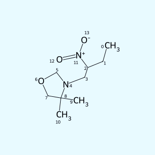 CCC(CN1COCC1(C)C)[N+](=O)[O-]